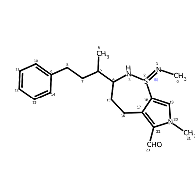 C/N=S1/NC(C(C)CCc2ccccc2)CCc2c1cn(C)c2C=O